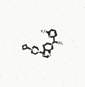 Cc1cccc(C(C)N2CCc3c(ncnc3N3CCN(C4CCC4)CC3)C2)n1